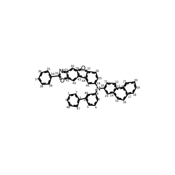 c1ccc(-c2cccc(N(c3ccc4c(ccc5ccccc54)c3)c3ccc4oc5cc6nc(-c7ccccc7)oc6cc5c4c3)c2)cc1